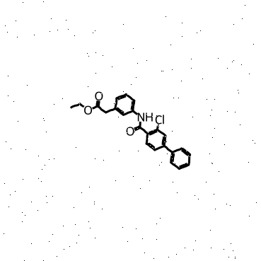 CCOC(=O)Cc1cccc(NC(=O)c2ccc(-c3ccccc3)cc2Cl)c1